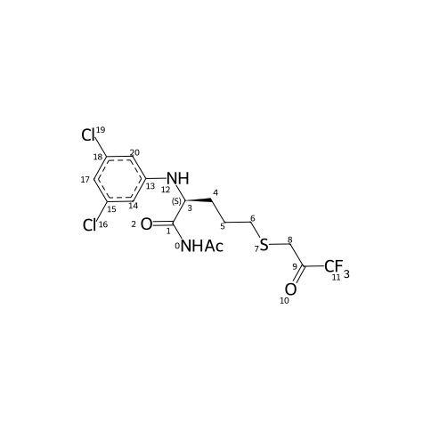 CC(=O)NC(=O)[C@H](CCCSCC(=O)C(F)(F)F)Nc1cc(Cl)cc(Cl)c1